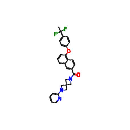 CC(F)(F)c1ccc(Oc2cccc3cc(C(=O)N4CC5(C4)CN(c4ccccn4)C5)ccc23)cc1